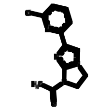 CC(=O)N1CCn2cc(-c3cccc(Cl)n3)nc21